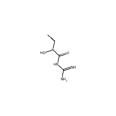 CCN(O)C(=O)NC(=N)N